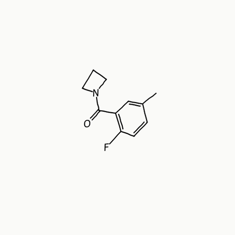 Cc1ccc(F)c(C(=O)N2CCC2)c1